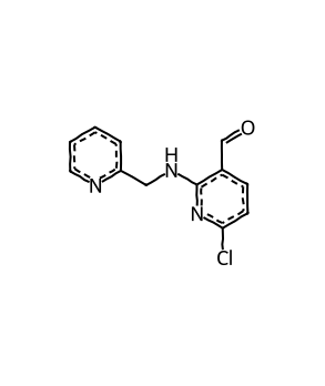 O=Cc1ccc(Cl)nc1NCc1ccccn1